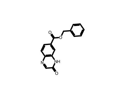 O=C(OCc1ccccc1)c1ccc2ncc(=O)[nH]c2c1